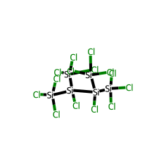 Cl[Si](Cl)(Cl)[Si](Cl)([Si](Cl)(Cl)Cl)[Si](Cl)([Si](Cl)(Cl)Cl)[Si](Cl)(Cl)Cl